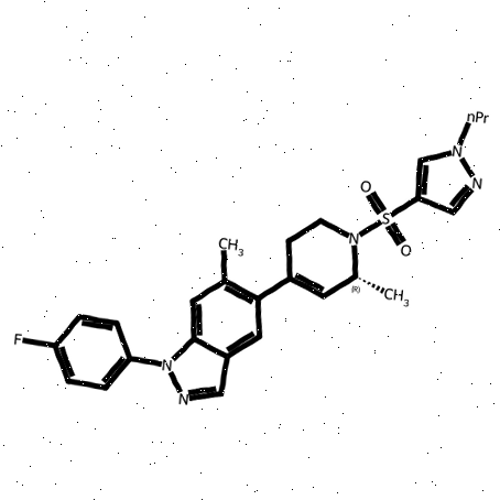 CCCn1cc(S(=O)(=O)N2CCC(c3cc4cnn(-c5ccc(F)cc5)c4cc3C)=C[C@H]2C)cn1